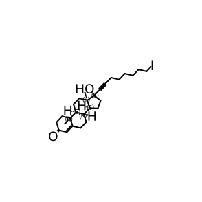 C[C@]12CCC(=O)C=C1CC[C@@H]1[C@@H]2CC[C@@]2(C)[C@H]1CC[C@@]2(O)C#CCCCCCCI